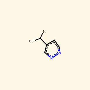 CCC(C)c1c[c]nnc1